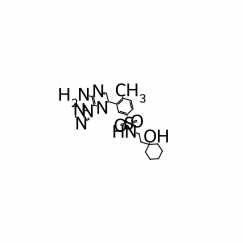 Cc1ccc(S(=O)(=O)NCCC2(O)CCCCC2)cc1-c1cnc(N)c(-n2cncn2)n1